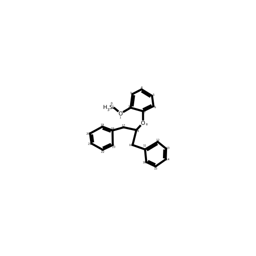 [SiH3]Oc1ccccc1OC(Cc1ccccc1)Cc1ccccc1